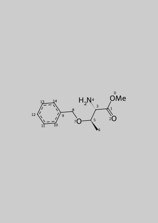 COC(=O)[C@@H](N)[C@@H](C)OCc1ccccc1